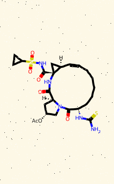 CC(=O)O[C@@H]1C[C@H]2C(=O)N[C@]3(C(=O)NS(=O)(=O)C4CC4)C[C@H]3/C=C\CCCCC[C@H](NC(N)=S)C(=O)N2C1